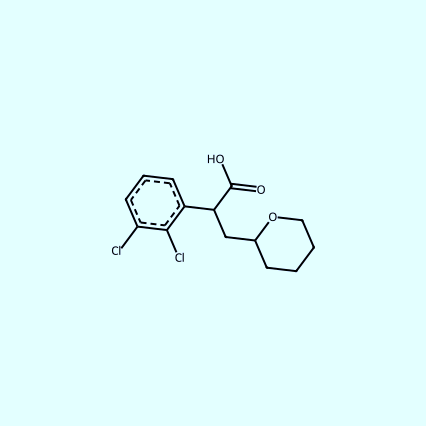 O=C(O)C(CC1CCCCO1)c1cccc(Cl)c1Cl